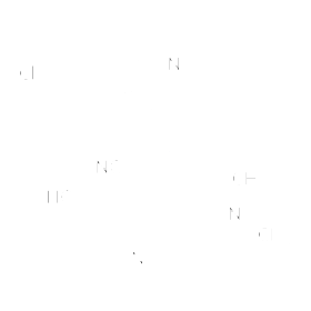 CN(C)c1ccncc1/C=C(\C#N)c1c[nH]c2ccc(Cl)cc12.Cl